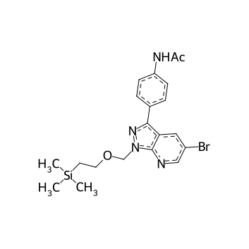 CC(=O)Nc1ccc(-c2nn(COCC[Si](C)(C)C)c3ncc(Br)cc23)cc1